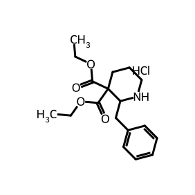 CCOC(=O)C1(C(=O)OCC)CCCNC1Cc1ccccc1.Cl